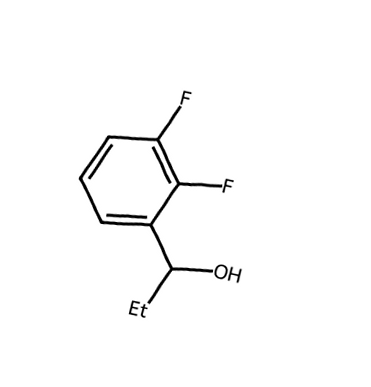 CCC(O)c1cccc(F)c1F